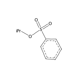 CC(C)OS(=O)(=O)c1ccccc1